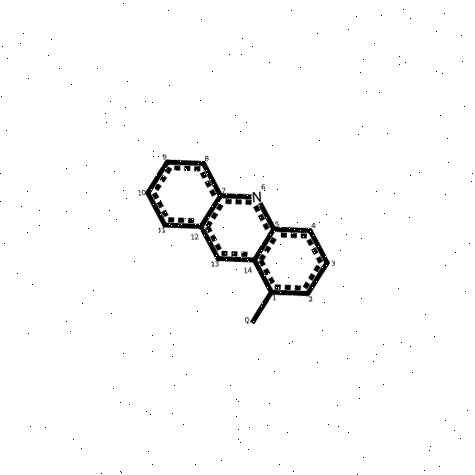 [CH2]c1cccc2nc3ccccc3cc12